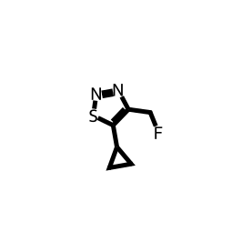 FCc1nnsc1C1CC1